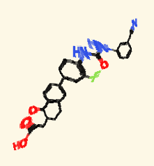 N#Cc1cccc(NC(=O)Nc2ccc(-c3ccc4c(c3)CCC(CC(=O)O)C4=O)cc2F)c1